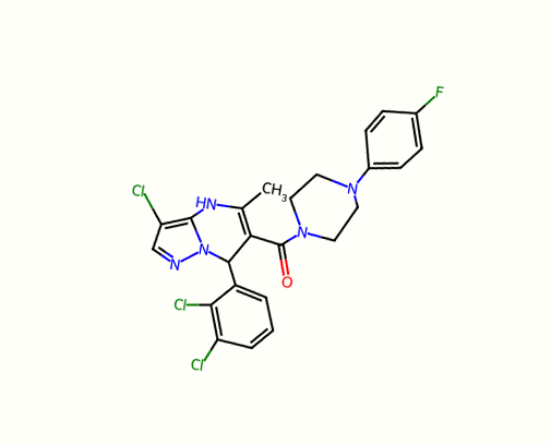 CC1=C(C(=O)N2CCN(c3ccc(F)cc3)CC2)C(c2cccc(Cl)c2Cl)n2ncc(Cl)c2N1